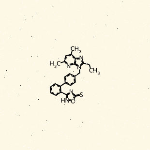 CCc1nc2c(C)cc(C)nc2n1Cc1ccc(-c2ccccc2-c2nc(=S)o[nH]2)cc1